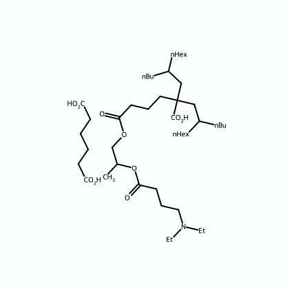 CCCCCCC(CCCC)CC(CCCC(=O)OCC(C)OC(=O)CCCN(CC)CC)(CC(CCCC)CCCCCC)C(=O)O.O=C(O)CCCCC(=O)O